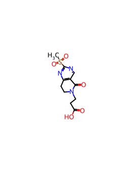 CS(=O)(=O)c1ncc2c(n1)CCN(CCC(=O)O)C2=O